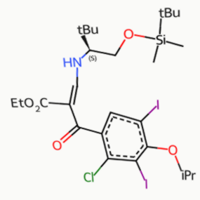 CCOC(=O)C(=CN[C@H](CO[Si](C)(C)C(C)(C)C)C(C)(C)C)C(=O)c1cc(I)c(OC(C)C)c(I)c1Cl